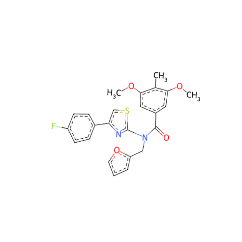 COc1cc(C(=O)N(Cc2ccco2)c2nc(-c3ccc(F)cc3)cs2)cc(OC)c1C